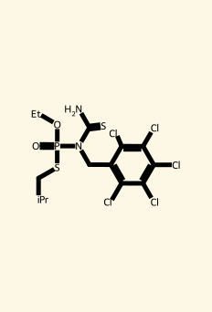 CCOP(=O)(SCC(C)C)N(Cc1c(Cl)c(Cl)c(Cl)c(Cl)c1Cl)C(N)=S